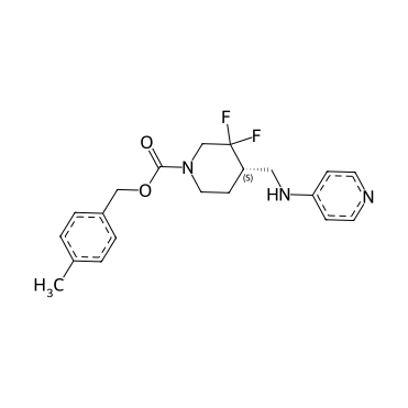 Cc1ccc(COC(=O)N2CC[C@@H](CNc3ccncc3)C(F)(F)C2)cc1